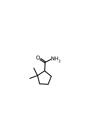 CC1(C)CCCC1C(N)=O